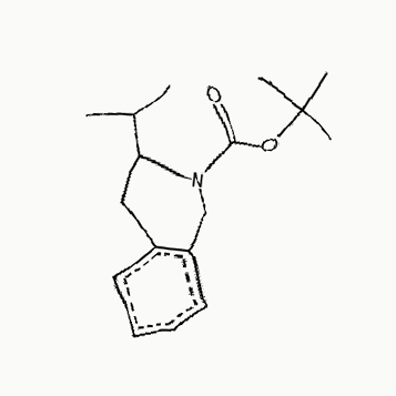 CC(C)C1Cc2ccccc2CN1C(=O)OC(C)(C)C